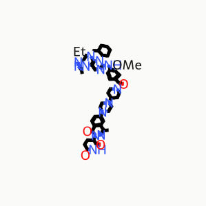 CC[C@@H]1c2nnc(C)n2-c2cnc(Nc3ccc(C(=O)N4CCC(N5CCN(c6ccc7c(=O)n(C8CCC(=O)NC8=O)nc(C)c7c6)CC5)CC4)cc3OC)nc2N1CC1CCCCC1